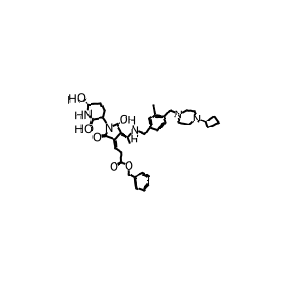 C/C(NCc1ccc(CN2CCN(C3CCC3)CC2)c(C)c1)=C1\C(=C/CC(=O)OCc2ccccc2)C(=O)N(C2CC[C@@H](O)NC2O)[C@@H]1O